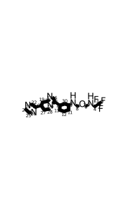 FC(F)(F)CNCOCNc1cccc(-c2cnc3cc(-c4cnccn4)ccn23)c1